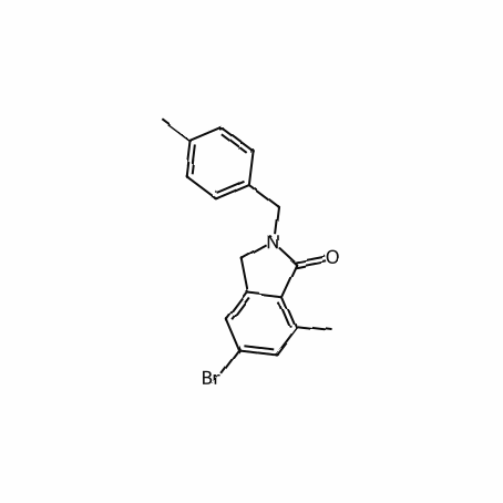 Cc1ccc(CN2Cc3cc(Br)cc(C)c3C2=O)cc1